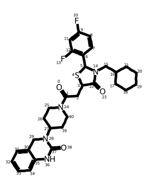 O=C(CC1SC(c2ccc(F)cc2F)N(CC2CCCCC2)C1=O)N1CCC(N2Cc3ccccc3NC2=O)CC1